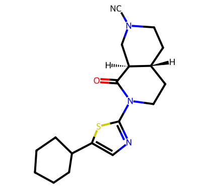 N#CN1CC[C@@H]2CCN(c3ncc(C4CCCCC4)s3)C(=O)[C@H]2C1